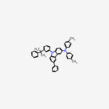 Cc1ccc(N(c2ccc(C)cc2)c2ccc3c(c2)c2cc(-c4ccccc4)ccc2n3-c2cccc(C(C)(C)c3ccccc3)c2)cc1